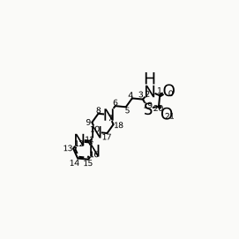 O=C1NC(CCCN2CCN(c3ncccn3)CC2)SC1=O